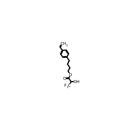 C=Cc1ccc(CCCCOC(=O)C(O)C(F)(F)F)cc1